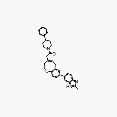 Cc1nc2ccc(-c3ccc4c(c3)C/C=C(/CC(=O)N3CCC(c5ccccc5)CC3)CCO4)cc2[nH]1